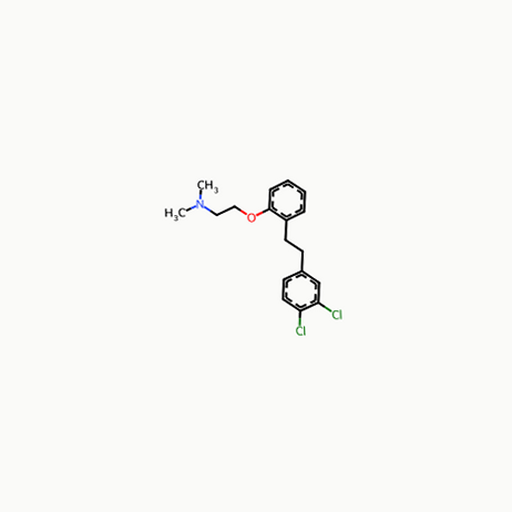 CN(C)CCOc1ccccc1CCc1ccc(Cl)c(Cl)c1